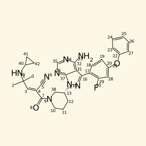 CC(C)(C=C(C#N)C(=O)N1CCC[C@@H](n2nc(-c3ccc(Oc4ccccc4)cc3F)c3c(N)ncnc32)C1)NC1CC1